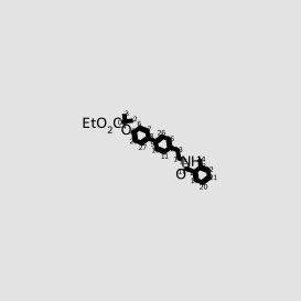 CCOC(=O)C(C)(C)Oc1ccc(-c2ccc(CCNC(=O)c3ccccc3C)cc2)cc1